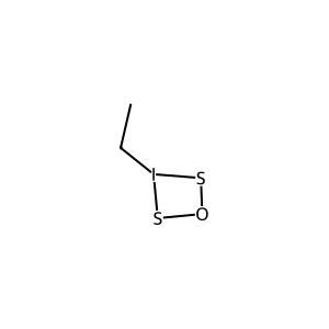 CCI1SOS1